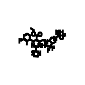 CCOC(=O)C1=C(CN2CC(F)(F)C3CN(C(N)=O)CC32)NC(c2nccs2)=NC1c1cccc(F)c1C